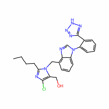 CCCCc1nc(Cl)c(CO)n1Cc1cccc2c1ncn2-c1ccccc1-c1nn[nH]n1